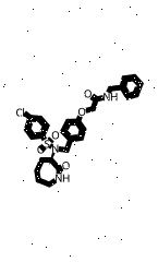 O=C(COc1ccc(CN([C@@H]2CCCCNC2=O)S(=O)(=O)c2ccc(Cl)cc2)cc1)NCc1ccccc1